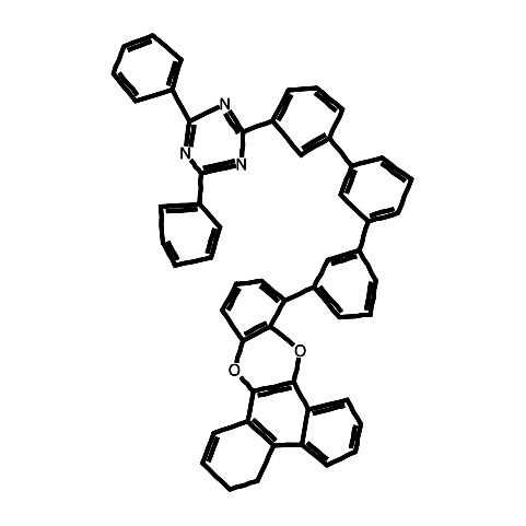 C1=Cc2c3c(c4ccccc4c2CC1)Oc1c(cccc1-c1cccc(-c2cccc(-c4cccc(-c5nc(-c6ccccc6)nc(-c6ccccc6)n5)c4)c2)c1)O3